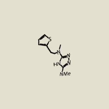 CNc1nnc(N(C)Cc2cccs2)[nH]1